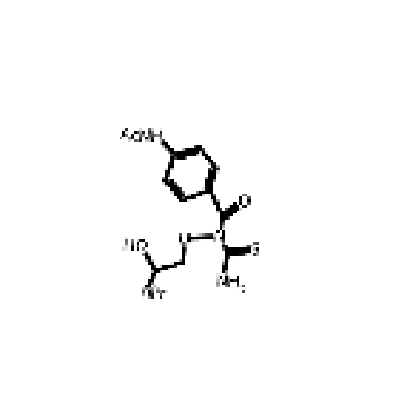 CCCC(O)CON(C(=O)c1ccc(NC(C)=O)cc1)C(N)=S